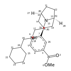 COC(=O)c1cccc([C@H]2C[C@H]3CC[C@@H](C2)N3CCNCC2CCCCC2)c1